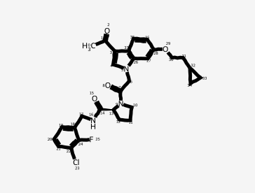 CC(=O)c1cn(CC(=O)N2CCC[C@H]2C(=O)NCc2cccc(Cl)c2F)c2cc(OCCC3CC3)ccc12